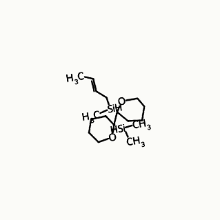 CC=CC[SiH](C)C1(C2([SiH](C)C)CCCCO2)CCCCO1